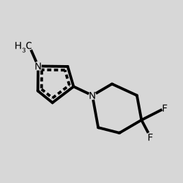 Cn1ccc(N2CCC(F)(F)CC2)c1